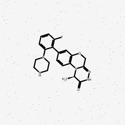 C[C@@H]1C(=O)NN=C2COc3cc(-c4c(F)cccc4N4CCNCC4)ccc3N21